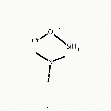 CC(C)O[SiH3].CN(C)C